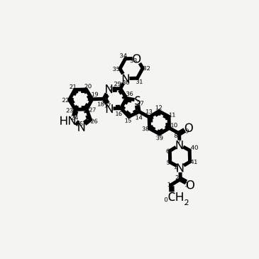 C=CC(=O)N1CCN(C(=O)c2ccc(-c3cc4nc(-c5cccc6[nH]ncc56)nc(N5CCOCC5)c4s3)cc2)CC1